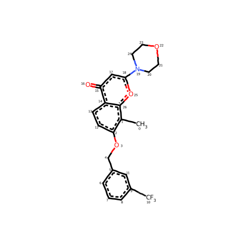 Cc1c(OCc2cccc(C(F)(F)F)c2)ccc2c(=O)cc(N3CCOCC3)oc12